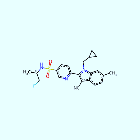 Cc1ccc2c(C#N)c(-c3ccc(S(=O)(=O)N[C@H](C)CF)cn3)n(CC3CC3)c2c1